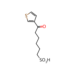 O=C(CCCCCS(=O)(=O)O)c1ccsc1